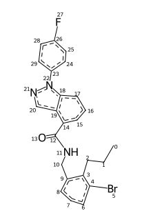 CCCc1c(Br)cccc1CNC(=O)c1cccc2c1cnn2-c1ccc(F)cc1